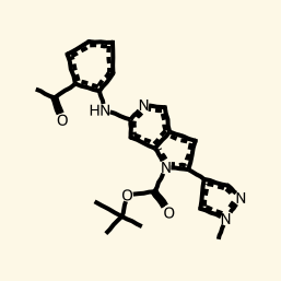 CC(=O)c1ccccc1Nc1cc2c(cn1)cc(-c1cnn(C)c1)n2C(=O)OC(C)(C)C